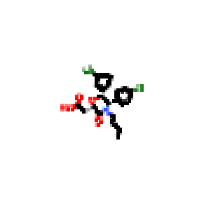 CCCCN1C(=O)[C@H](CC(=O)O)O[C@@H](c2cccc(Cl)c2)[C@H]1c1ccc(Cl)cc1